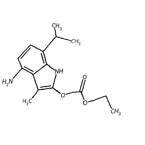 CCOC(=O)Oc1[nH]c2c(C(C)C)ccc(N)c2c1C